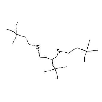 CC(C)(C)CCSCC(SCCC(C)(C)C)C(C)(C)C